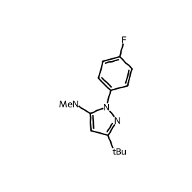 CNc1cc(C(C)(C)C)nn1-c1ccc(F)cc1